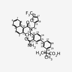 Cc1ccc2ccccc2c1C(=O)N(Cc1ccc(C(F)(F)F)o1)Cc1ccc(-c2cccc(C(C)(C)C(=O)O)c2)cc1C(N)=O